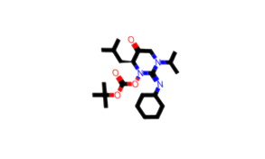 CC(C)C[C@H]1C(=O)CN(C(C)C)C(=NC2CCCCC2)N1OC(=O)OC(C)(C)C